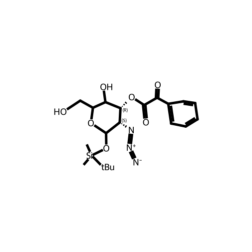 CC(C)(C)[Si](C)(C)OC1OC(CO)C(O)[C@H](OC(=O)C(=O)c2ccccc2)[C@@H]1N=[N+]=[N-]